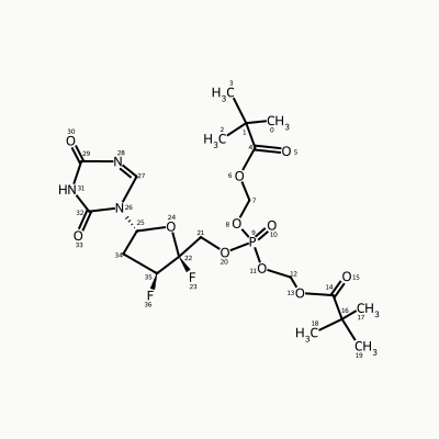 CC(C)(C)C(=O)OCOP(=O)(OCOC(=O)C(C)(C)C)OC[C@@]1(F)O[C@@H](n2cnc(=O)[nH]c2=O)C[C@@H]1F